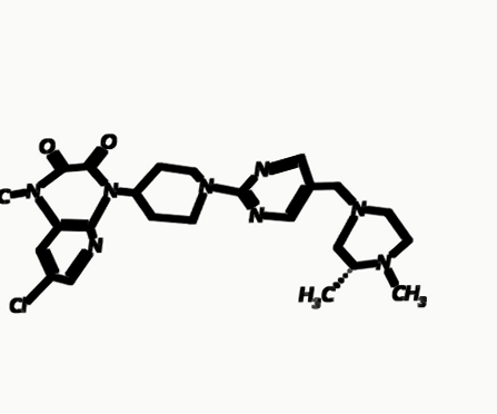 C[C@@H]1CN(Cc2cnc(N3CCC(n4c(=O)c(=O)n(C)c5cc(Cl)cnc54)CC3)nc2)CCN1C